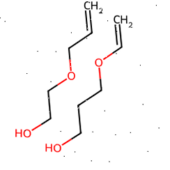 C=CCOCCO.C=COCCCO